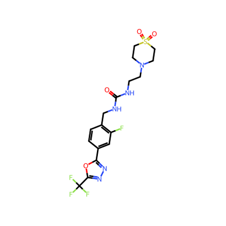 O=C(NCCN1CCS(=O)(=O)CC1)NCc1ccc(-c2nnc(C(F)(F)F)o2)cc1F